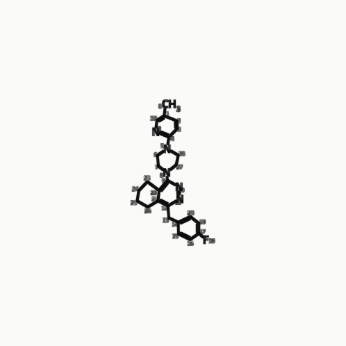 Cc1ccc(N2CCN(c3nnc(Cc4ccc(F)cc4)c4c3CCCC4)CC2)nc1